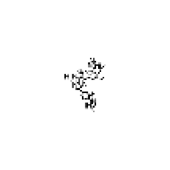 CCCN(C(=O)c1nnc[nH]1)[C@H](CC)CCc1nc2c(-c3ccc(-c4ncc(C)[nH]4)c(F)c3)cnn2c(N)c1C(C)=O